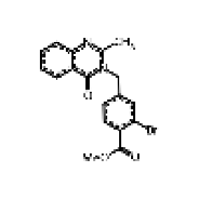 COC(=O)c1ccc(Cn2c(C)nc3ccccc3c2=O)cc1Br